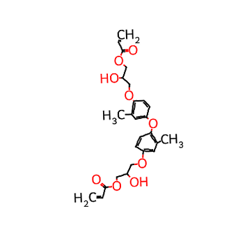 C=CC(=O)OCC(O)COc1ccc(Oc2ccc(OCC(O)COC(=O)C=C)c(C)c2)c(C)c1